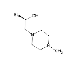 CC[C@@H](O)CN1CCN(C)CC1